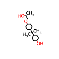 CC(O)COC1CCC(C(C)(C)C2CCC(O)CC2)CC1